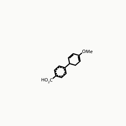 COC1=CCC(c2ccc(C(=O)O)cc2)C=C1